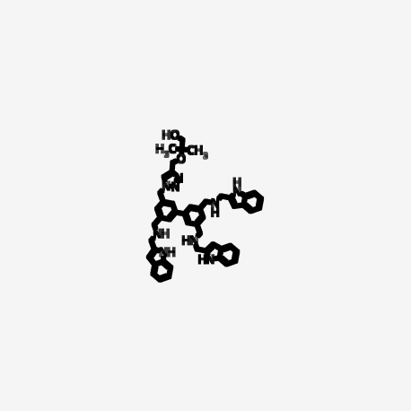 CC(C)(CO)OCc1cn(Cc2cc(CNCc3cc4ccccc4[nH]3)cc(-c3cc(CNCc4cc5ccccc5[nH]4)cc(CNCc4cc5ccccc5[nH]4)c3)c2)nn1